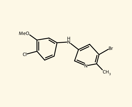 COc1cc(Nc2cnc(C)c(Br)c2)ccc1Cl